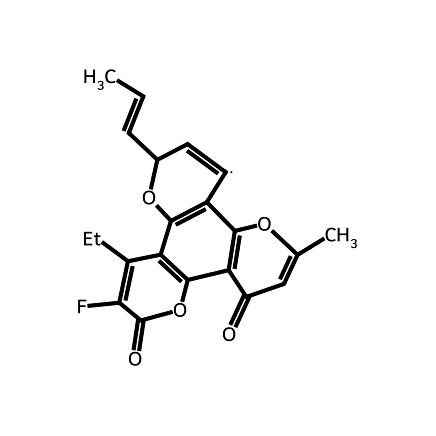 CC=CC1C=[C]c2c(c3c(CC)c(F)c(=O)oc3c3c(=O)cc(C)oc23)O1